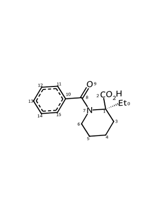 CC[C@]1(C(=O)O)CCCCN1C(=O)c1ccccc1